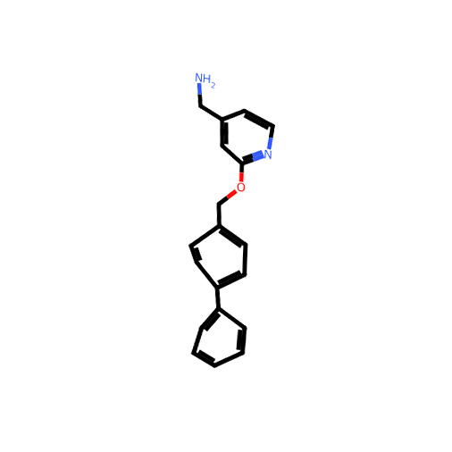 NCc1ccnc(OCc2ccc(-c3ccccc3)cc2)c1